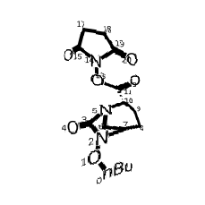 CCCCON1C(=O)N2CC1CC[C@H]2C(=O)ON1C(=O)CCC1=O